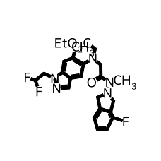 CCOC(=O)CN(CC(=O)N(C)N1Cc2cccc(F)c2C1)c1cc2cnn(CC(F)F)c2cc1C